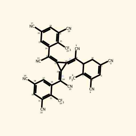 N#CC1=CC(C#N)=C(C(F)(F)F)C(/C(C#N)=C2/C(=C(C#N)c3cc(C#N)cc(C#N)c3C(F)(F)F)/C2=C(/C#N)c2cc(C#N)cc(C#N)c2C(F)(F)F)C1